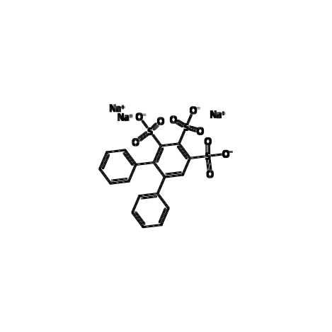 O=S(=O)([O-])c1cc(-c2ccccc2)c(-c2ccccc2)c(S(=O)(=O)[O-])c1S(=O)(=O)[O-].[Na+].[Na+].[Na+]